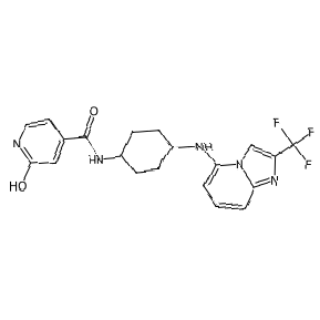 O=C(NC1CCC(Nc2cccc3nc(C(F)(F)F)cn23)CC1)c1ccnc(O)c1